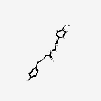 O=C(COCc1ccc(F)cc1)NCC#Cc1ccc(S(=O)(=O)O)cc1